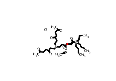 CC#N.CC(=O)CCC(=O)CCN(CCC(=O)CCC(C)=O)CCC(=O)CCC(C)=O.CCCC[N+](CCCC)(CCCC)CCCC.[Cl-]